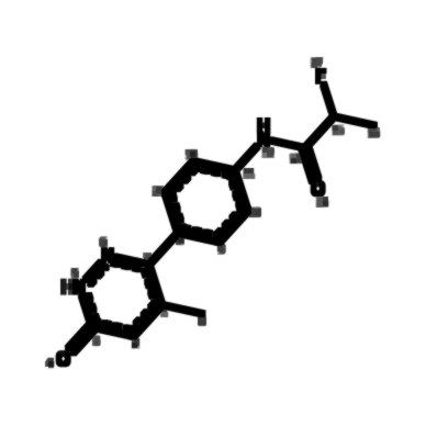 Cc1cc(=O)[nH]nc1-c1ccc(NC(=O)C(C)F)cc1